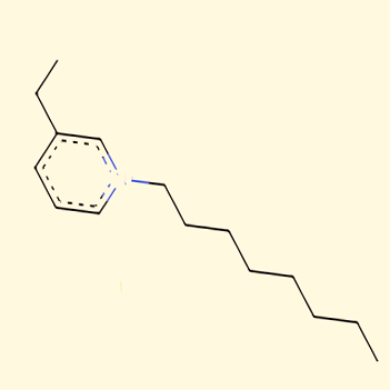 CCCCCCCC[n+]1cccc(CC)c1.[F-]